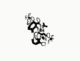 Cc1cc2c(c(C(=O)NC(C)C)c1NC(=O)c1cc(OC(F)F)nn1-c1ncccc1Cl)OC(F)(F)O2